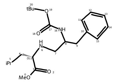 COC(=O)[C@H](CC(C)C)NCC(Cc1ccccc1)NC(=O)OC(C)(C)C